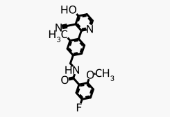 COc1ccc(F)cc1C(=O)NCc1ccc(-c2nccc(O)c2C#N)c(C)c1